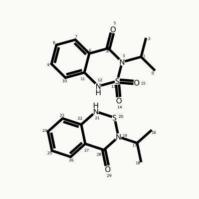 CC(C)N1C(=O)c2ccccc2NS1(=O)=O.CC(C)N1SNc2ccccc2C1=O